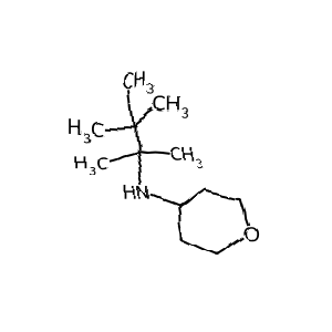 CC(C)(C)C(C)(C)NC1CCOCC1